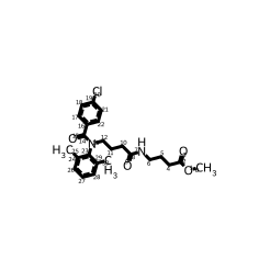 COC(=O)CCCNC(=O)CCCN(C(=O)c1ccc(Cl)cc1)c1c(C)cccc1C